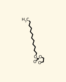 CCCCCCCCCCCCOP1(=O)OCCO1